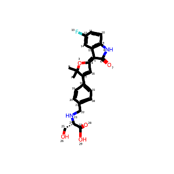 CC1(C)O/C(=C2/C(=O)Nc3ccc(F)cc32)C=C1c1ccc(CN[C@@H](CO)C(=O)O)cc1